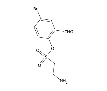 NCCS(=O)(=O)Oc1ccc(Br)cc1C=O